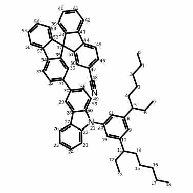 CCCCCC(CC)c1cc(C(CC)CCCCC)cc(-n2c3ccccc3c3cc(-c4ccc5c(c4)C4(c6ccccc6-c6ccc(C#N)cc64)c4ccccc4-5)ccc32)c1